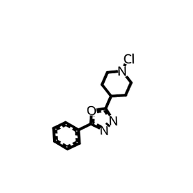 ClN1CCC(c2nnc(-c3ccccc3)o2)CC1